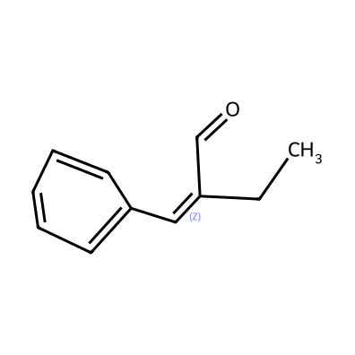 CC/C(C=O)=C/c1ccccc1